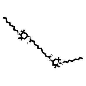 CCCCCCCCOC1C(C)(C)CC(OC(=O)CCCCCCCCC(=O)OC2CC(C)(C)N(OCCCCCCCC)C(C)(C)C2)CC1(C)C